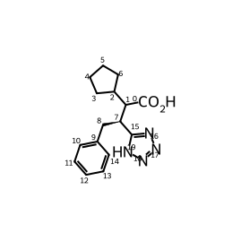 O=C(O)C(C1CCCC1)[C@H](Cc1ccccc1)c1nnn[nH]1